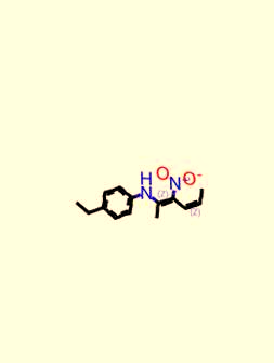 C/C=C\C(=C(/C)Nc1ccc(CC)cc1)[N+](=O)[O-]